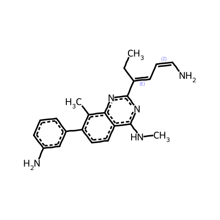 CC/C(=C\C=C/N)c1nc(NC)c2ccc(-c3cccc(N)c3)c(C)c2n1